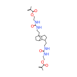 C=C(C)C(=O)OCCNC(=O)NCCC1CCC2C1C1CCC2(CCNC(=O)NCCOC(=O)C(=C)C)C1